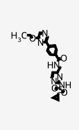 CCOc1cncc(-c2ccc(C(=O)NCc3ccnc(NS(=O)(=O)C4CC4)n3)cc2)n1